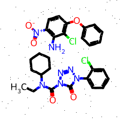 CCN(C(=O)n1nnn(-c2ccccc2Cl)c1=O)C1CCCCC1.Nc1c([N+](=O)[O-])ccc(Oc2ccccc2)c1Cl